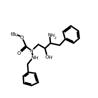 CC(C)(C)OC(=O)N(CC(O)C(N)Cc1ccccc1)NCc1ccccc1